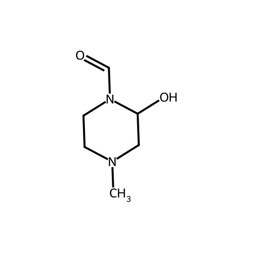 CN1CCN(C=O)C(O)C1